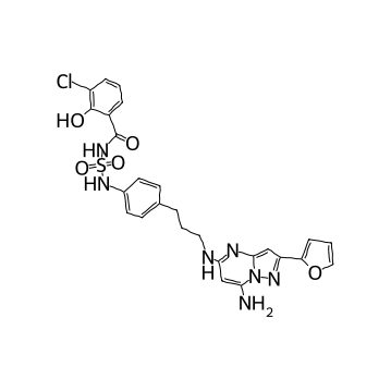 Nc1cc(NCCCc2ccc(NS(=O)(=O)NC(=O)c3cccc(Cl)c3O)cc2)nc2cc(-c3ccco3)nn12